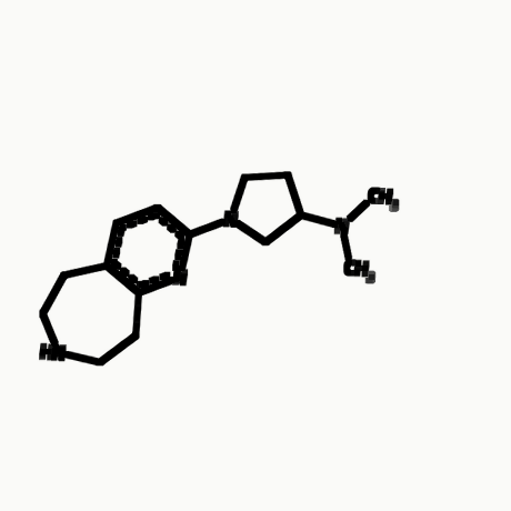 CN(C)C1CCN(c2ccc3c(n2)CCNCC3)C1